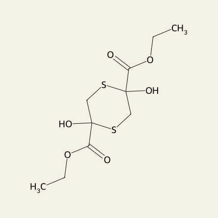 CCOC(=O)C1(O)CSC(O)(C(=O)OCC)CS1